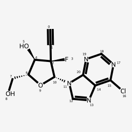 C#C[C@@]1(F)[C@H](O)[C@@H](CO)O[C@H]1n1cnc2c(Cl)ncnc21